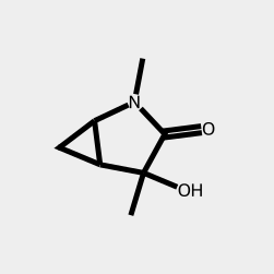 CN1C(=O)C(C)(O)C2CC21